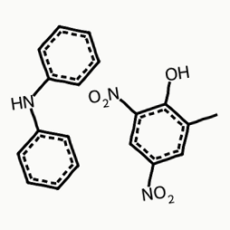 Cc1cc([N+](=O)[O-])cc([N+](=O)[O-])c1O.c1ccc(Nc2ccccc2)cc1